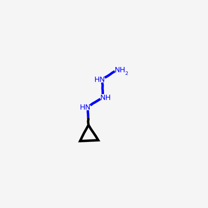 NNNNC1CC1